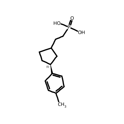 Cc1ccc([C@H]2CCC(CCP(=O)(O)O)C2)cc1